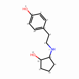 Oc1ccc(CCNC2CCCC2O)cc1